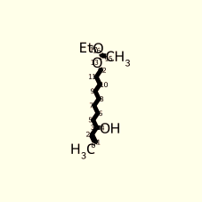 CC=CC(O)CCCCCCCCOC(C)OCC